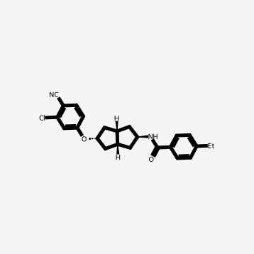 CCc1ccc(C(=O)N[C@H]2C[C@@H]3C[C@H](Oc4ccc(C#N)c(Cl)c4)C[C@@H]3C2)cc1